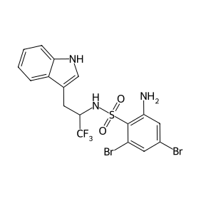 Nc1cc(Br)cc(Br)c1S(=O)(=O)NC(Cc1c[nH]c2ccccc12)C(F)(F)F